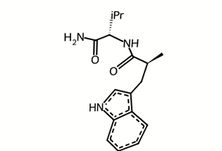 CC(C)[C@H](NC(=O)[C@@H](C)Cc1c[nH]c2ccccc12)C(N)=O